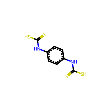 S=C(S)Nc1ccc(NC(=S)S)cc1